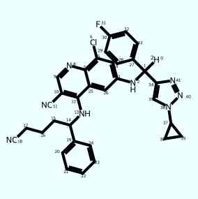 [2H]C(Nc1cc(Cl)c2ncc(C#N)c(NC(CCCC#N)c3ccccc3)c2c1)(c1ccc(F)cc1)c1cn(C2CC2)nn1